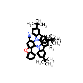 CC(C)(C)c1ccc2c(c1)c1cc(C(C)(C)C)ccc1n2-c1c(C#N)cc2oc3ccccc3c2c1-n1c2ccc(C(C)(C)C)cc2c2cc(C(C)(C)C)ccc21